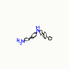 Nc1ccc([C@H]2C=CC(Nc3ccc([C@@H]4C=CC(c5ccccc5)=CC4)cc3)=CC2)cc1